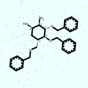 N[C@H]1[C@H](OCc2ccccc2)[C@@H](OCc2ccccc2)[C@H](COCc2ccccc2)C[C@H]1O